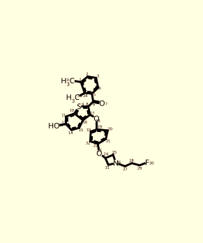 Cc1cccc(C(=O)c2sc3cc(O)ccc3c2Oc2ccc(OC3CN(CCCF)C3)cc2)c1C